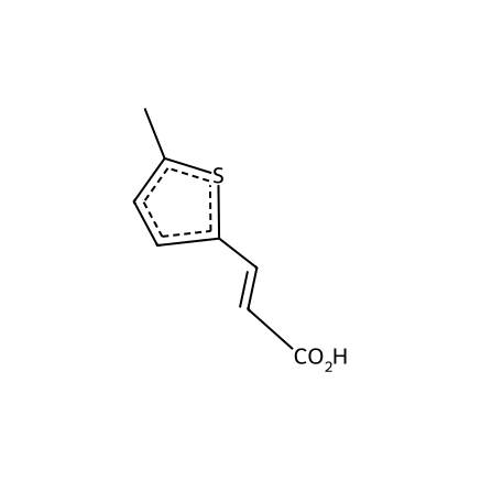 Cc1ccc(C=CC(=O)O)s1